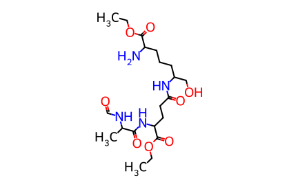 CCOC(=O)C(N)CCCC(CO)NC(=O)CCC(NC(=O)C(C)NC=O)C(=O)OCC